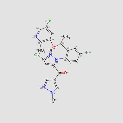 CCn1cc(C(=O)c2cc(Cl)nn2-c2ccc(F)cc2C(C)Oc2cc(Br)cnc2[N+](=O)[O-])cn1